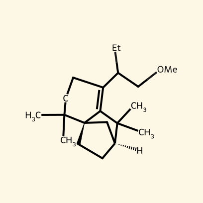 CCC(COC)C1=C2C(C)(C)[C@H]3CC[C@@]2(C3)C(C)(C)CC1